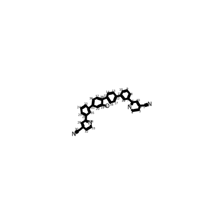 N#Cc1ccnc(-c2cccc(-c3ccc4c(c3)oc3cc(-c5cccc(-c6cc(C#N)ccn6)c5)ccc34)c2)c1